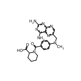 CN(Cc1cnc2nc(N)nc(N)c2n1)c1ccc(C(=O)N2CCCCC2C(=O)O)cc1